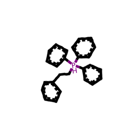 c1ccc(CC[PH](c2ccccc2)(c2ccccc2)c2ccccc2)cc1